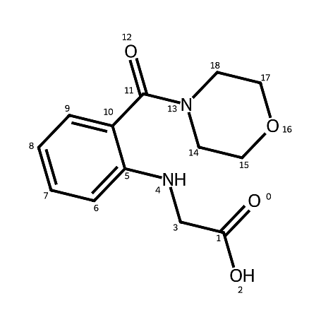 O=C(O)CNc1ccccc1C(=O)N1CCOCC1